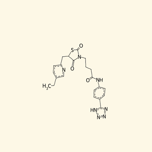 CCc1ccc(CC2SC(=O)N(CCCC(=O)Nc3ccc(-c4nnn[nH]4)cc3)C2=O)nc1